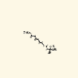 CCC(C)(C)CCCCCCCCCCC=O